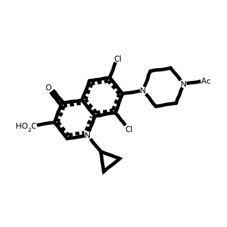 CC(=O)N1CCN(c2c(Cl)cc3c(=O)c(C(=O)O)cn(C4CC4)c3c2Cl)CC1